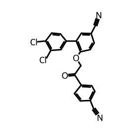 N#Cc1ccc(C(=O)COc2ccc(C#N)cc2-c2ccc(Cl)c(Cl)c2)cc1